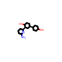 Nc1cccc(-c2cc(-c3ccc(O)cc3)ccc2O)n1